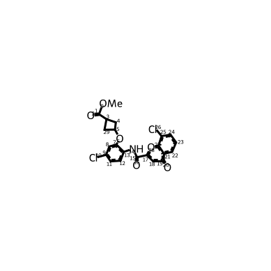 COC(=O)C1CC(Oc2cc(Cl)ccc2NC(=O)c2cc(=O)c3cccc(Cl)c3o2)C1